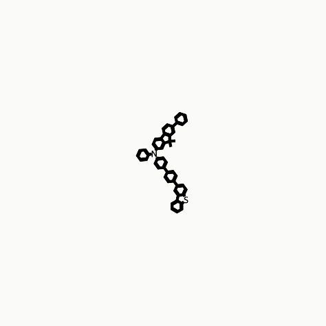 CC1(C)c2cc(-c3ccccc3)ccc2-c2ccc(N(c3ccccc3)c3ccc(-c4ccc(-c5ccc6sc7ccccc7c6c5)cc4)cc3)cc21